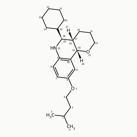 CC(C)CCOc1ccc2c(c1)[C@H]1OCCC[C@H]1[C@H](C1CCCCC1)N2